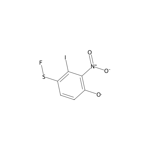 [O]c1ccc(SF)c(I)c1[N+](=O)[O-]